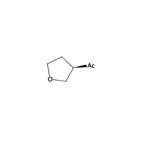 CC(=O)[C@@H]1CCOC1